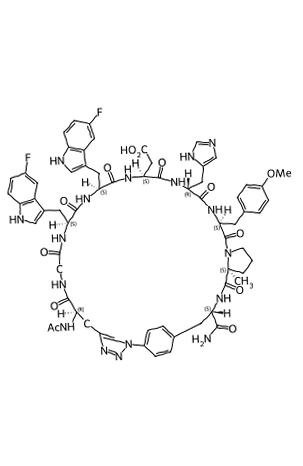 COc1ccc(C[C@@H]2NC(=O)[C@@H](Cc3cnc[nH]3)NC(=O)[C@H](CC(=O)O)NC(=O)[C@H](Cc3c[nH]c4ccc(F)cc34)NC(=O)[C@H](Cc3c[nH]c4ccc(F)cc34)NC(=O)CNC(=O)[C@H](NC(C)=O)Cc3cn(nn3)-c3ccc(cc3)C[C@@H](C(N)=O)NC(=O)[C@]3(C)CCCN3C2=O)cc1